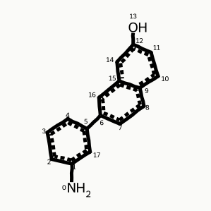 Nc1cccc(-c2ccc3ccc(O)cc3c2)c1